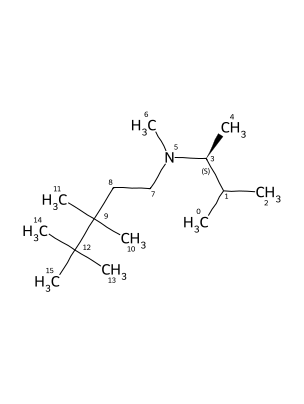 CC(C)[C@H](C)N(C)CCC(C)(C)C(C)(C)C